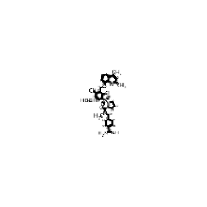 Cc1cc(C)c2cccc(OCc3c(Cl)ccc(S(=O)(=O)N4CCC[C@H]4C(=O)N(C)Cc4ccc(C(=N)N)cc4)c3Cl)c2n1.Cl.Cl